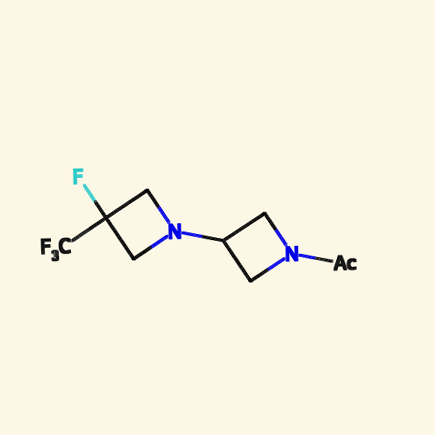 CC(=O)N1CC(N2CC(F)(C(F)(F)F)C2)C1